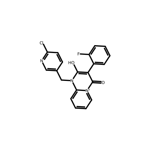 O=c1c(-c2ccccc2F)c(O)n(Cc2ccc(Cl)nc2)c2cccc[n+]12